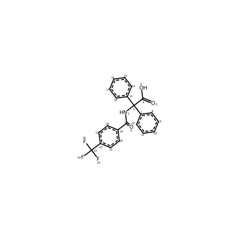 O=C(NC(C(=O)O)(c1ccccc1)c1ccccc1)c1ccc(C(F)(F)F)cc1